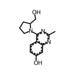 Cc1nc(N2CCCC2CO)c2ccc(O)cc2n1